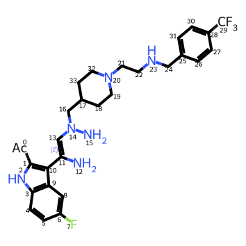 CC(=O)c1[nH]c2ccc(F)cc2c1/C(N)=C/N(N)CC1CCN(CCNCc2ccc(C(F)(F)F)cc2)CC1